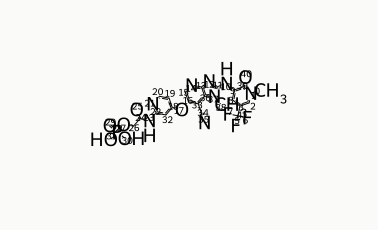 Cn1cc(C(F)(F)F)cc(Nc2nc3ncc(Oc4ccnc(NC(=O)COP(=O)(O)O)c4)c(C#N)c3n2C)c1=O